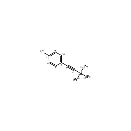 CC(C)[Si](C#Cc1[c]cc(F)cc1)(C(C)C)C(C)C